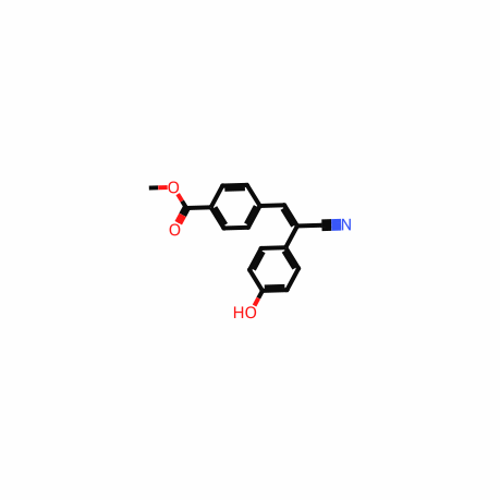 COC(=O)c1ccc(/C=C(/C#N)c2ccc(O)cc2)cc1